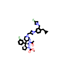 COC(=O)N[C@H]1CCC[C@@H]1[C@](CNC(C)=O)(c1cccc(F)c1)C1CCN(CC2CN(c3ccc(CC4CC4)c(CN4CC(F)C4)c3)C2)CC1